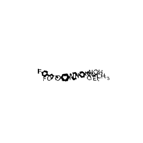 CCC(C(C)O)n1ncn(-c2ccc(N3CCN(c4ccc(OC[C@@H]5COC(c6ccc(F)cc6F)C5)cc4)CC3)cc2)c1=O